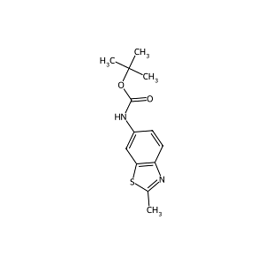 Cc1nc2ccc(NC(=O)OC(C)(C)C)cc2s1